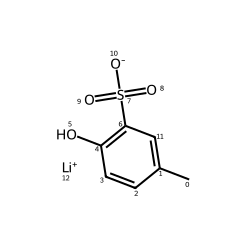 Cc1ccc(O)c(S(=O)(=O)[O-])c1.[Li+]